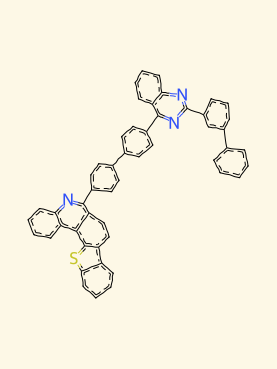 c1ccc(-c2cccc(-c3nc(-c4ccc(-c5ccc(-c6nc7ccccc7c7c6ccc6c8ccccc8sc67)cc5)cc4)c4ccccc4n3)c2)cc1